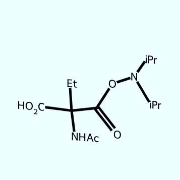 CCC(NC(C)=O)(C(=O)O)C(=O)ON(C(C)C)C(C)C